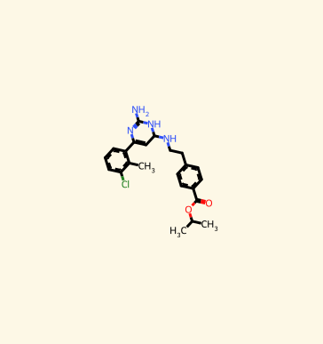 Cc1c(Cl)cccc1C1=CC(NCCc2ccc(C(=O)OC(C)C)cc2)NC(N)=N1